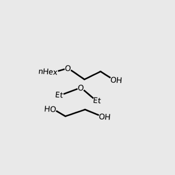 CCCCCCOCCO.CCOCC.OCCO